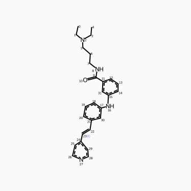 CCN(CC)CCCNC(=O)c1cccc(Nc2cccc(/C=C/c3ccncc3)c2)c1